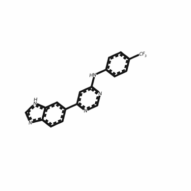 FC(F)(F)c1ccc(Nc2cc(-c3ccc4nc[nH]c4c3)ncn2)cc1